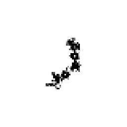 CCOC(=O)[C@H](Cc1ccc(OCc2sc(-c3ccc(-c4cc(C(C)(C)C)on4)cc3)nc2C)cc1)OCC